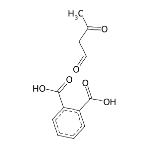 CC(=O)CC=O.O=C(O)c1ccccc1C(=O)O